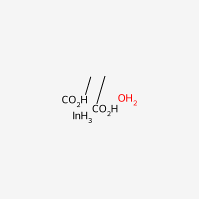 CC(=O)O.CC(=O)O.O.[InH3]